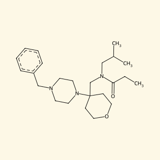 CCC(=O)N(CC(C)C)CC1(N2CCN(Cc3ccccc3)CC2)CCOCC1